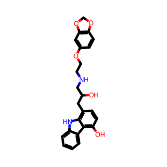 Oc1ccc(CC(O)CNCCOc2ccc3c(c2)OCO3)c2[nH]c3ccccc3c12